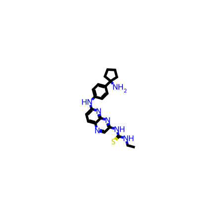 CCNC(=S)Nc1cnc2ccc(Nc3ccc(C4(N)CCCC4)cc3)nc2n1